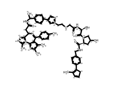 CC1=C(c2ccc(CNC(=O)[C@@H]3CC(O)CN3C(=O)[C@@H](NC(=O)COCCn3cc(-c4ccc(C(C)NC(=O)CC5N=C(c6ccc(C)cc6)c6c(sc(C)c6C)-n6c(C)nnc65)cc4)cn3)C(C)(C)C)cc2)CC=C1